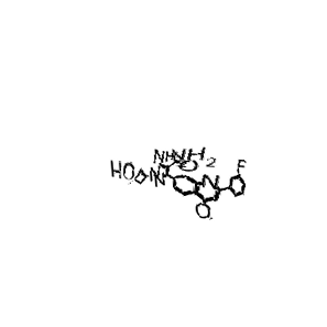 COc1cc(-c2cccc(F)c2)nc2cc(-c3nn([C@H]4C[C@](C)(O)C4)c(N)c3C(N)=O)ccc12